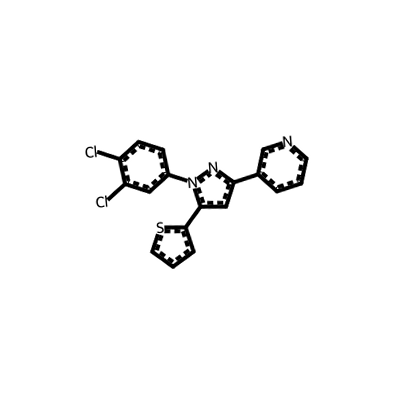 Clc1ccc(-n2nc(-c3cccnc3)cc2-c2cccs2)cc1Cl